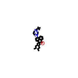 CCCCCC1(CCCCC)C(=O)c2cccc3c(N4CCCN(CC(C)(C)C)CC4)ccc1c23